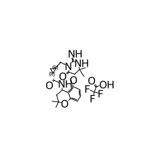 COc1cccc2c1C(NC(=O)[C@@H]1C[C@H]1CN1C(=N)NC(C)(C)CC1=O)CC(C)(C)O2.O=C(O)C(F)(F)F